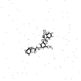 Cc1cc(OCC(=O)Nc2ccncc2)cc(OS(=O)(=O)c2ccccc2C)c1